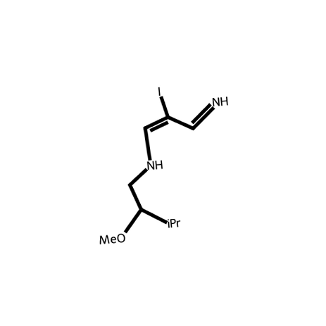 COC(CN/C=C(/I)C=N)C(C)C